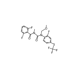 COCN(C(=O)N(C)C(=O)c1c(F)cccc1F)c1ccc(SC(F)(F)F)cc1F